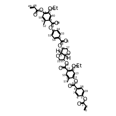 C=CC(=O)Oc1ccc(C(=O)Oc2cc(OCC)c(C(=O)O[C@H]3CO[C@H]4[C@@H]3OC[C@H]4OC(=O)c3ccc(OC(=O)c4cc(OCC)c(OC(=O)C=C)cc4C)cc3)cc2C)cc1